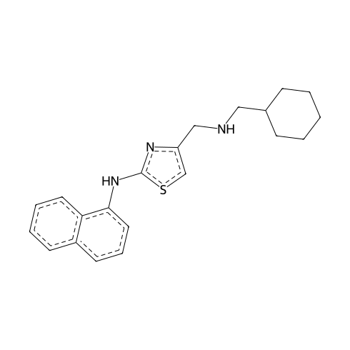 c1ccc2c(Nc3nc(CNCC4CCCCC4)cs3)cccc2c1